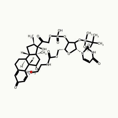 C[C@@H]1C[C@H]2[C@@H]3CCC4=CC(=O)C=C[C@]4(C)[C@@]3(F)[C@@H](O)C[C@]2(C)[C@@]1(O)C(=O)COP(=O)(O)OC1C(O[Si](C)(C)C(C)(C)C)[C@H](n2ccc(=O)[nH]c2=O)O[C@@H]1COC(=O)NCCN